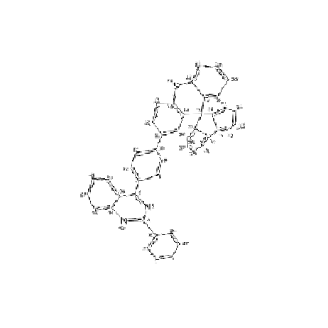 c1ccc(-c2nc(-c3ccc(-c4ccc5c(c4)C4(c6ccccc6S5)c5ccccc5-c5ccccc54)cc3)c3ccccc3n2)cc1